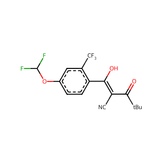 CC(C)(C)C(=O)/C(C#N)=C(\O)c1ccc(OC(F)F)cc1C(F)(F)F